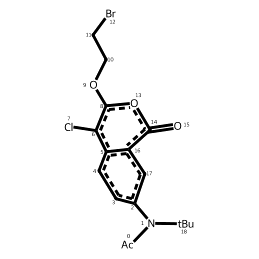 CC(=O)N(c1ccc2c(Cl)c(OCCBr)oc(=O)c2c1)C(C)(C)C